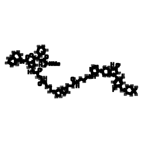 CN[C@@H](C)C(=O)N[C@H](C(=O)N1C[C@@H](NC(=O)CCC(=O)NCCCN2CC[C@]3(CCN(CCC(=O)NCCCNc4cc(N5CCC6(CC5)CN(c5cc(F)c(CN7CCC(C)(C)CC7)cc5F)CC(=O)N6)ncn4)C3)C2)C[C@H]1C(=O)N[C@@H]1CCCc2ccccc21)C1CCCCC1